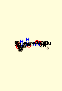 CC(C)COC(C)ONC(=O)CCCCCCC(=O)Nc1ccc(CNC(C(=O)OC2CCCC2)C2CCCCC2)cc1